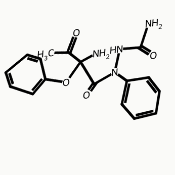 CC(=O)C(N)(Oc1ccccc1)C(=O)N(NC(N)=O)c1ccccc1